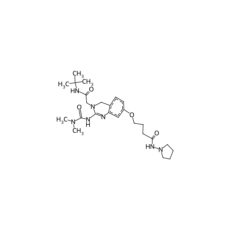 CN(C)C(=O)NC1=Nc2cc(OCCCC(=O)NN3CCCC3)ccc2CN1CC(=O)NC(C)(C)C